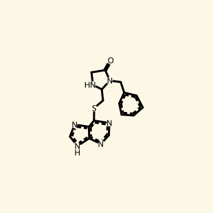 O=C1CNC(CSc2ncnc3[nH]cnc23)N1Cc1ccccc1